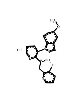 COc1ccc2c(cnn2-c2cccnc2[C@@H](N)Cc2ncccc2F)c1.Cl